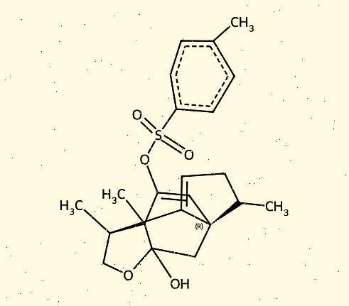 Cc1ccc(S(=O)(=O)OC2=C[C@]34CC5(O)OCC(C)(C3=CCC4C)C25C)cc1